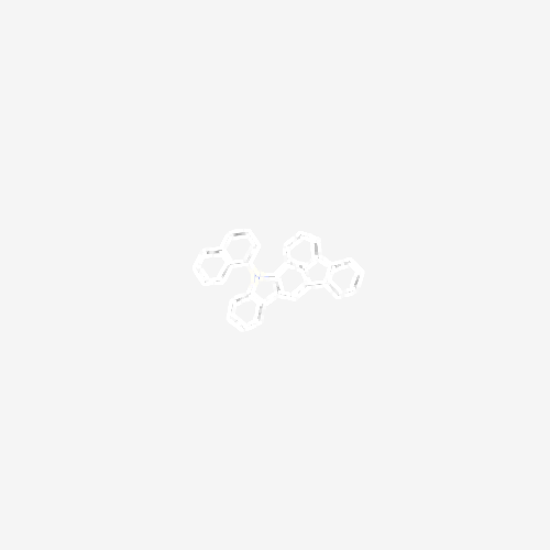 c1ccc2c(c1)-c1cccc3c1c-2cc1c2ccccc2n(-c2cccc4ccccc24)c31